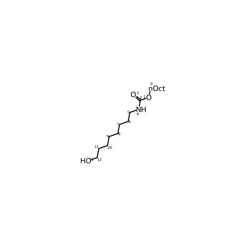 CCCCCCCCOC(=O)NCCCCCCCCO